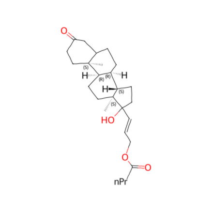 CCCC(=O)OCC=CC1(O)CC[C@H]2[C@@H]3CCC4CC(=O)CC[C@]4(C)[C@@H]3CC[C@@]21C